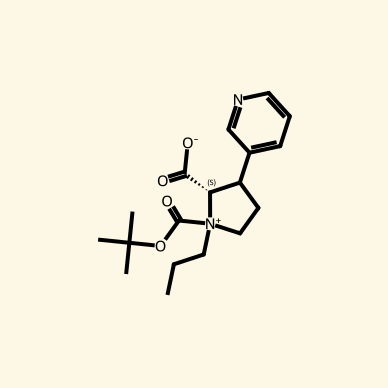 CCC[N+]1(C(=O)OC(C)(C)C)CCC(c2cccnc2)[C@H]1C(=O)[O-]